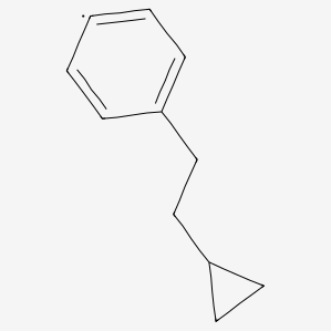 [c]1ccc(CCC2CC2)cc1